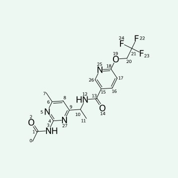 CC(=O)Nc1nc(C)cc(C(C)NC(=O)c2ccc(OCC(F)(F)F)nc2)n1